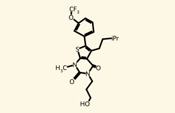 CC(C)CCc1c(-c2cccc(OC(F)(F)F)c2)sc2c1c(=O)n(CCCO)c(=O)n2C